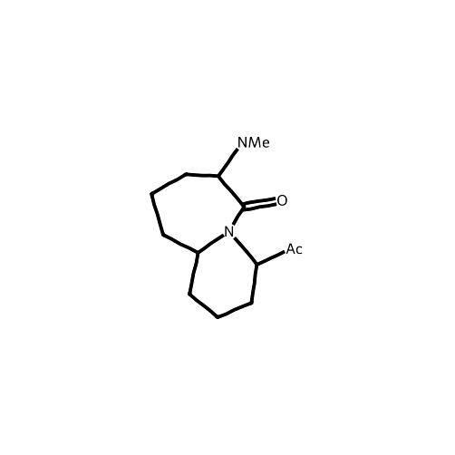 CNC1CCCC2CCCC(C(C)=O)N2C1=O